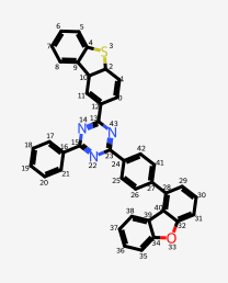 C1=CC2Sc3ccccc3C2C=C1c1nc(-c2ccccc2)nc(-c2ccc(-c3cccc4oc5ccccc5c34)cc2)n1